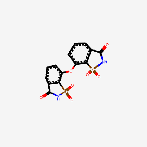 O=C1NS(=O)(=O)c2c(Oc3cccc4c3S(=O)(=O)NC4=O)cccc21